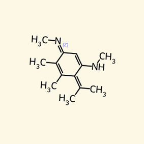 C/N=C1/C=C(NC)C(=C(C)C)C(C)=C1C